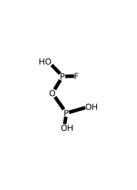 OP(O)OP(O)F